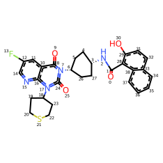 O=C(N[C@H]1CC[C@@H](n2c(=O)c3cc(F)cnc3n(C3CCSCC3)c2=O)CC1)c1c(O)ccc2ccccc12